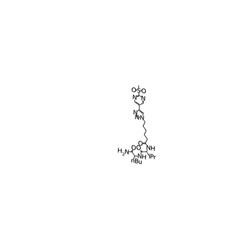 CCCCC(NC(=O)[C@@H](NC(=O)CCCCCn1cc(-c2cnc(S(C)(=O)=O)nc2)nn1)C(C)C)C(N)=O